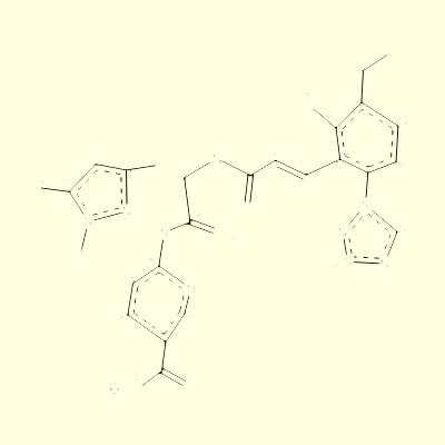 CCn1nc(C[C@H](NC(=O)/C=C/c2c(-n3cnnn3)ccc(CI)c2F)C(=O)Nc2ccc(C(=O)OC)cn2)cc1C